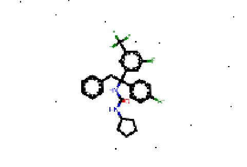 O=C(NC1CCCC1)NC(Cc1ccccc1)(c1ccc(Br)cc1)c1cc(F)cc(C(F)(F)F)c1